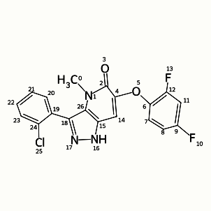 Cn1c(=O)c(Oc2ccc(F)cc2F)cc2[nH]nc(-c3ccccc3Cl)c21